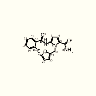 NC(=O)c1ccc(NC(=O)c2ccccc2Cl)n1Cc1ccco1